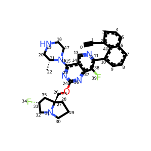 C#Cc1cccc2cccc(-c3ncc4c(N5CCNC[C@H]5C)nc(OC[C@@]56CCCN5C[C@H](F)C6)nc4c3F)c12